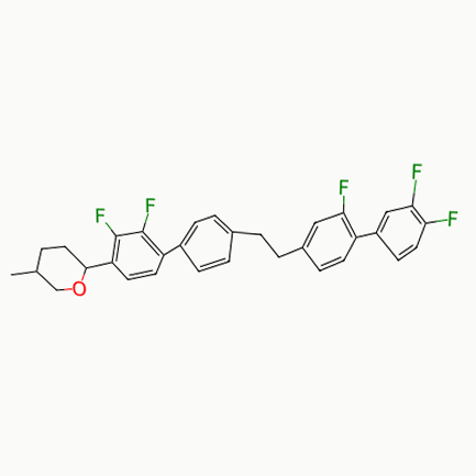 CC1CCC(c2ccc(-c3ccc(CCc4ccc(-c5ccc(F)c(F)c5)c(F)c4)cc3)c(F)c2F)OC1